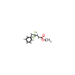 COC(=O)CCC(F)(F)Cc1ccccc1